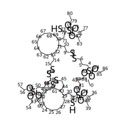 CCO[Si](CCCSSCCC1CC(CCSSCCC2CCCCCCCCC(CC(S)[Si](OCC)(OCC)OCC)C(CCSSCCC[Si](OCC)(OCC)OCC)C2)CCCCCCCCC1CC(S)[Si](OCC)(OCC)OCC)(OCC)OCC